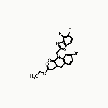 CCOC(=O)CC1Cc2ccc(Br)cc2N(Cc2nc3c(F)c(F)ccc3s2)C1=O